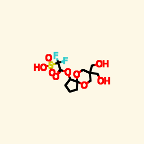 O=C(OC1CCCC12OCC(CO)(CO)CO2)C(F)(F)S(=O)(=O)O